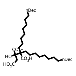 CCCCCCCCCCCCCCCCCCC(CCCCCCCCCCCCCCCCCC)(C(=O)O)C(O)(CC(=O)O)C(=O)O